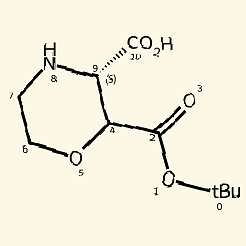 CC(C)(C)OC(=O)C1OCCN[C@@H]1C(=O)O